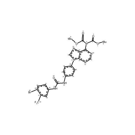 CC(C)(C)OC(=O)N(C(=O)OC(C)(C)C)c1ncnc2c1ncn2-c1ccc(NC(=O)Nc2ccc(Br)c(C(F)(F)F)c2)cc1